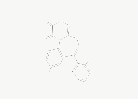 O=c1[nH]nc2n(c1=O)-c1ccc(Cl)cc1C(c1ccccc1Cl)=NC2